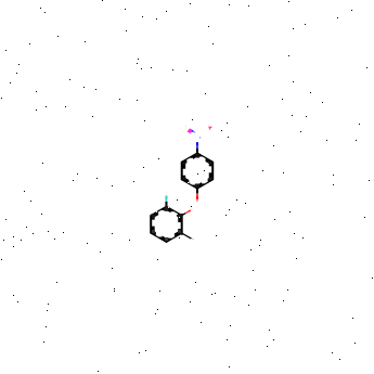 Cc1cccc(F)c1Oc1ccc([N+](=O)[O-])cc1